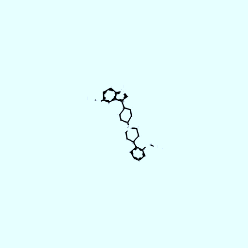 COc1ccc2[nH]cc(C3CCC(N4CCC(c5ccccc5OC)CC4)CC3)c2c1